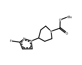 CC(C)(C)OC(=O)N1CCC(n2ccc(F)n2)CC1